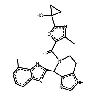 Cc1nc(C2(O)CC2)oc1C(=O)N1CCc2[nH]cnc2[C@H]1c1nc2c(F)cccc2s1